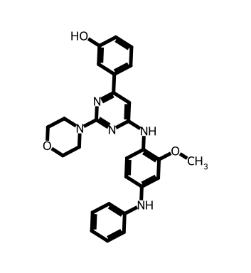 COc1cc(Nc2ccccc2)ccc1Nc1cc(-c2cccc(O)c2)nc(N2CCOCC2)n1